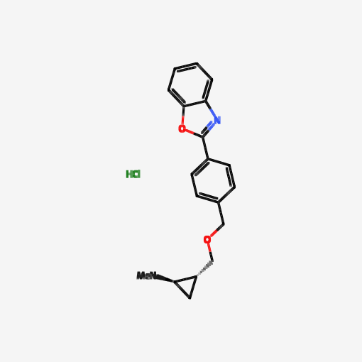 CN[C@@H]1C[C@H]1COCc1ccc(-c2nc3ccccc3o2)cc1.Cl